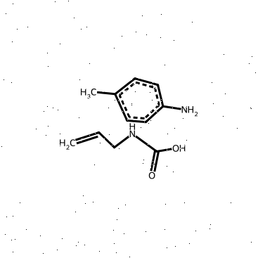 C=CCNC(=O)O.Cc1ccc(N)cc1